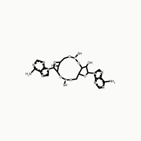 Nc1ncnc2c1ncn2C1OC2COP(S)OC3C(O)C(COP(S)OC2C1O)OC3n1cnc2c(N)ncnc21